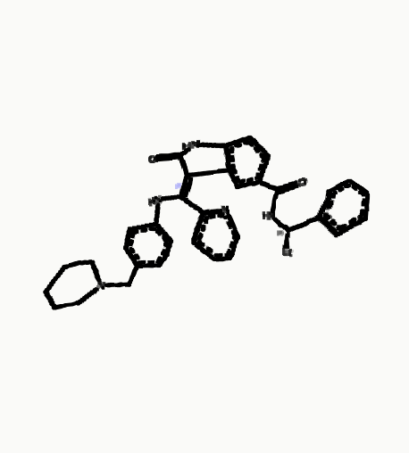 CC[C@@H](NC(=O)c1ccc2c(c1)/C(=C(/Nc1ccc(CN3CCCCC3)cc1)c1ccccn1)C(=O)N2)c1ccccc1